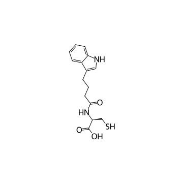 O=C(CCCc1c[nH]c2ccccc12)N[C@@H](CS)C(=O)O